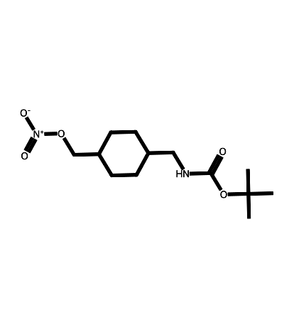 CC(C)(C)OC(=O)NCC1CCC(CO[N+](=O)[O-])CC1